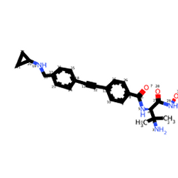 CC(C)(N)[C@@H](NC(=O)c1ccc(C#Cc2ccc(CNC3CC3)cc2)cc1)C(=O)NO